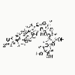 C[C@H]1O[C@@H](O[C@H]2[C@@H](O)C[C@H](O[C@@H]3[C@@H](C)O[C@@H](O[C@H]4CC[C@@]5(C)[C@@H](CC[C@]67O[C@@]68CC[C@H](C6=CC(=O)OC6)[C@@]8(C)CC[C@H]57)C4)O[C@@H]3O)O[C@@H]2C)C[C@@H](O)[C@@H]1O